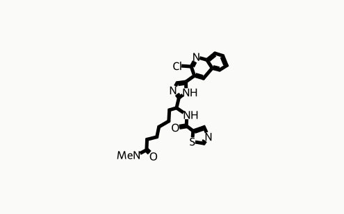 CNC(=O)CCCCCC(NC(=O)c1cncs1)c1ncc(-c2cc3ccccc3nc2Cl)[nH]1